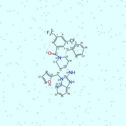 O=C(c1cc(C(F)(F)F)cc(C(F)(F)F)c1)N1CC[C@@H](Nc2nc3cccnc3n2Cc2ccco2)C[C@H]1Cc1ccccc1